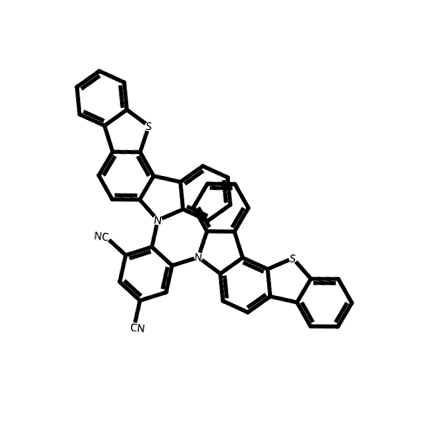 N#Cc1cc(C#N)c(-n2c3ccccc3c3c4sc5ccccc5c4ccc32)c(-n2c3ccccc3c3c4sc5ccccc5c4ccc32)c1